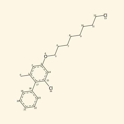 Cc1cc(OCCCCCCCCCl)cc(Cl)c1-c1ccccc1